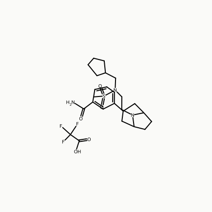 CS(=O)(=O)N(CCN1C2CCC1CC(c1cccc(C(N)=O)c1)C2)CC1CCCC1.O=C(O)C(F)(F)F